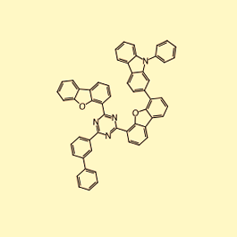 c1ccc(-c2cccc(-c3nc(-c4cccc5c4oc4ccccc45)nc(-c4cccc5c4oc4c(-c6ccc7c8ccccc8n(-c8ccccc8)c7c6)cccc45)n3)c2)cc1